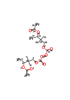 CC(C)C(=O)OC(C(C)C)C(C)(C)COC(=O)OOC(=O)OCC(C)(C)C(OC(=O)C(C)C)C(C)C